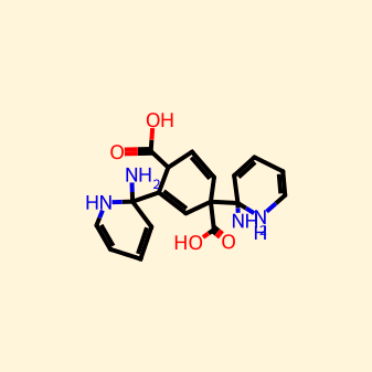 NC1(C2=CC(C(=O)O)(C3(N)C=CC=CN3)C=CC2C(=O)O)C=CC=CN1